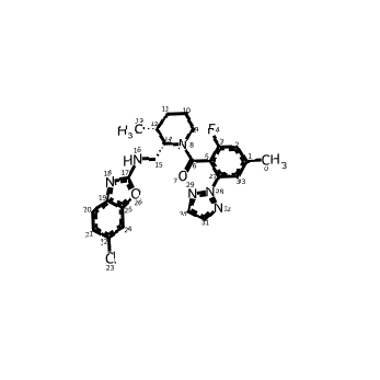 Cc1cc(F)c(C(=O)N2CCC[C@@H](C)[C@H]2CNc2nc3ccc(Cl)cc3o2)c(-n2nccn2)c1